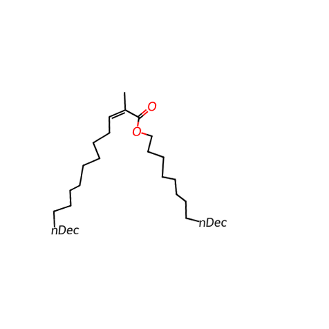 CCCCCCCCCCCCCCCCCCC=C(C)C(=O)OCCCCCCCCCCCCCCCCCC